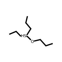 CCCO[SiH](CCC)CCC